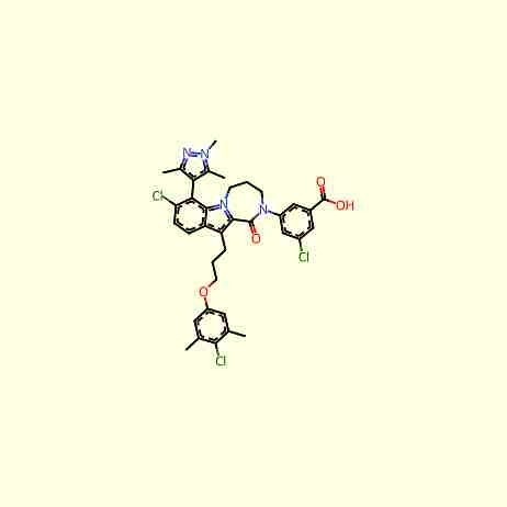 Cc1cc(OCCCc2c3n(c4c(-c5c(C)nn(C)c5C)c(Cl)ccc24)CCCN(c2cc(Cl)cc(C(=O)O)c2)C3=O)cc(C)c1Cl